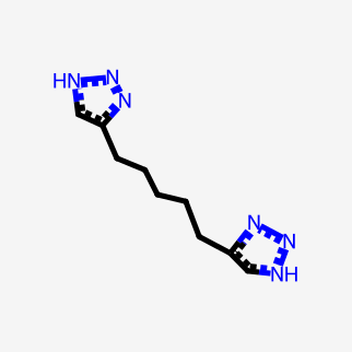 c1[nH]nnc1CCCCCc1c[nH]nn1